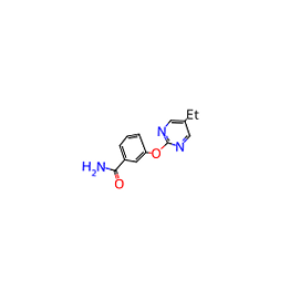 CCc1cnc(Oc2cccc(C(N)=O)c2)nc1